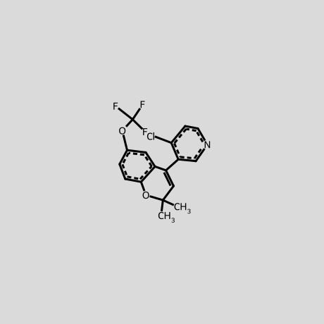 CC1(C)C=C(c2cnccc2Cl)c2cc(OC(F)(F)F)ccc2O1